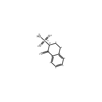 O=C1c2ccccc2CCC1S(=O)(=O)O